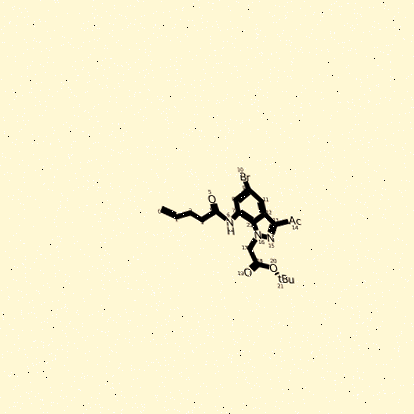 C=CCCC(=O)Nc1cc(Br)cc2c(C(C)=O)nn(CC(=O)OC(C)(C)C)c12